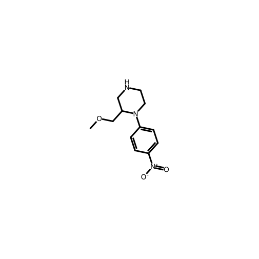 COCC1CNCCN1c1ccc([N+](=O)[O-])cc1